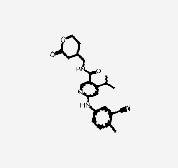 Cc1ccc(Nc2cc(C(C)C)c(C(=O)NCC3CCOC(=O)C3)cn2)cc1C#N